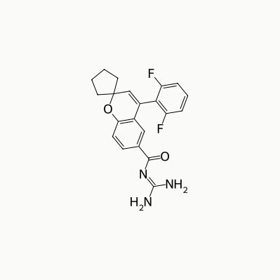 NC(N)=NC(=O)c1ccc2c(c1)C(c1c(F)cccc1F)=CC1(CCCC1)O2